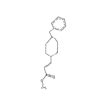 COC(=O)C=CC1CCN(Cc2ccccc2)CC1